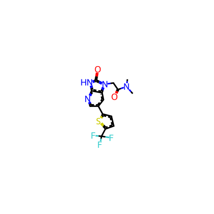 CN(C)C(=O)Cn1c(=O)[nH]c2ncc(-c3ccc(C(F)(F)F)s3)cc21